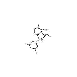 Cc1cc(C)cc(C2=Nc3c(C)ccc4c(C)ccc2c34)c1